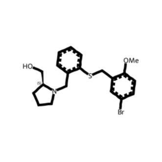 COc1ccc(Br)cc1CSc1ccccc1CN1CCC[C@H]1CO